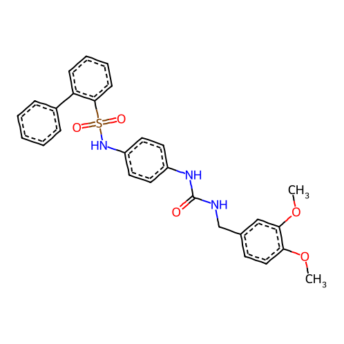 COc1ccc(CNC(=O)Nc2ccc(NS(=O)(=O)c3ccccc3-c3ccccc3)cc2)cc1OC